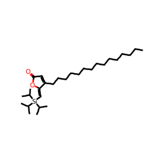 CCCCCCCCCCCCCCCC1=CC(=O)O/C1=C\[Si](C(C)C)(C(C)C)C(C)C